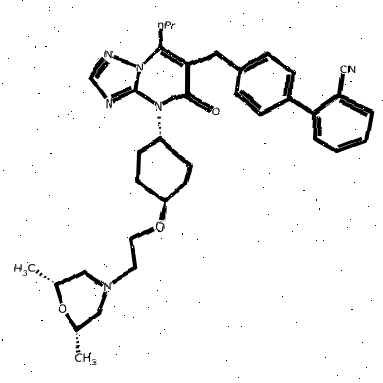 CCCc1c(Cc2ccc(-c3ccccc3C#N)cc2)c(=O)n([C@H]2CC[C@H](OCCN3C[C@@H](C)O[C@@H](C)C3)CC2)c2ncnn12